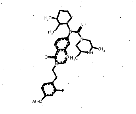 COc1ccc(CCn2cnc3cc(N(C(=N)N4CC(C)NC(C)C4)C4CCCC(C)C4C)ccc3c2=O)c(F)c1